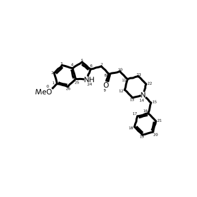 COc1ccc2cc(CC(=O)CC3CCN(Cc4ccccc4)CC3)[nH]c2c1